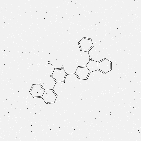 Clc1nc(-c2ccc3c4ccccc4n(-c4ccccc4)c3c2)nc(-c2cccc3ccccc23)n1